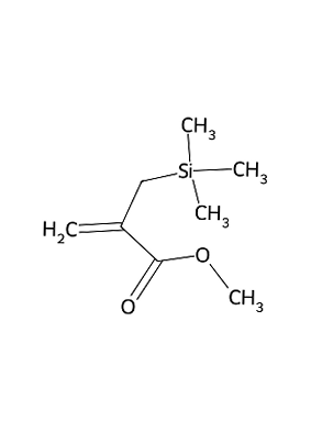 C=C(C[Si](C)(C)C)C(=O)OC